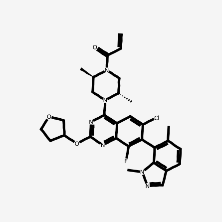 C=CC(=O)N1C[C@H](C)N(c2nc(OC3CCOC3)nc3c(F)c(-c4c(C)ccc5cnn(C)c45)c(Cl)cc23)C[C@H]1C